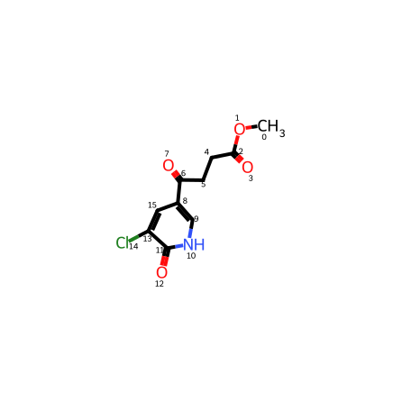 COC(=O)CCC(=O)c1c[nH]c(=O)c(Cl)c1